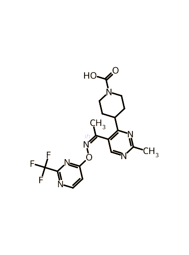 C/C(=N/Oc1ccnc(C(F)(F)F)n1)c1cnc(C)nc1C1CCN(C(=O)O)CC1